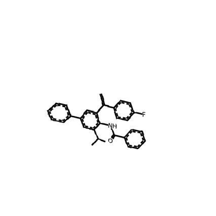 C=C(c1ccc(F)cc1)c1cc(-c2ccccc2)cc(C(C)C)c1NC(=O)c1ccccc1